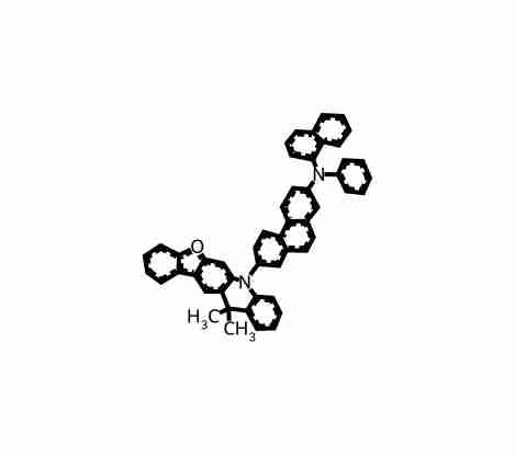 CC1(C)c2ccccc2N(c2ccc3c(ccc4cc(N(c5ccccc5)c5cccc6ccccc56)ccc43)c2)c2cc3oc4ccccc4c3cc21